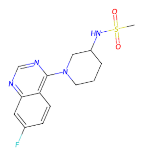 CS(=O)(=O)NC1CCCN(c2ncnc3cc(F)ccc23)C1